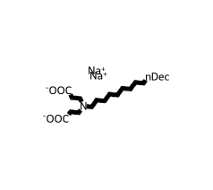 CCCCCCCCCCCCCCCCCCCN(CCC(=O)[O-])CCC(=O)[O-].[Na+].[Na+]